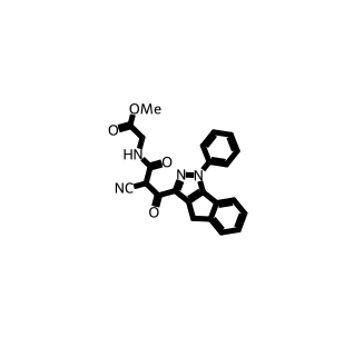 COC(=O)CNC(=O)C(C#N)C(=O)c1nn(-c2ccccc2)c2c1Cc1ccccc1-2